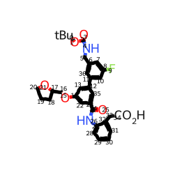 CC(C)(C)OC(=O)NCc1cc(F)cc(-c2cc(OCC3CCCO3)cc(C(=O)Nc3ccccc3CC(=O)O)c2)c1